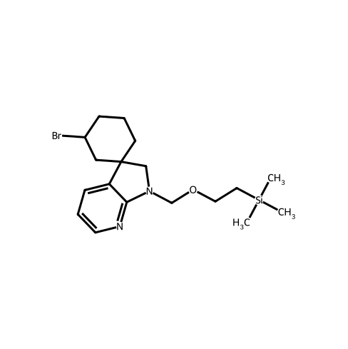 C[Si](C)(C)CCOCN1CC2(CCCC(Br)C2)c2cccnc21